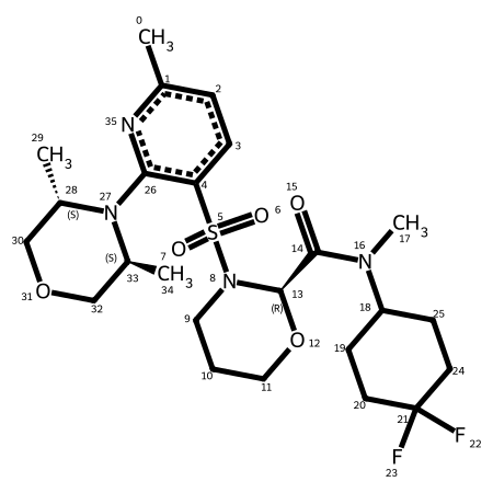 Cc1ccc(S(=O)(=O)N2CCCO[C@@H]2C(=O)N(C)C2CCC(F)(F)CC2)c(N2[C@@H](C)COC[C@@H]2C)n1